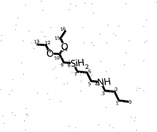 CCCCNCCC[SiH2]CC(OCC)OCC